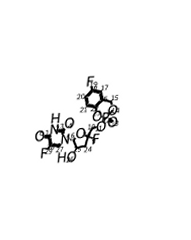 O=c1[nH]c(=O)n([C@@H]2O[C@](F)(COP3(=O)OCc4cc(F)ccc4O3)C[C@H]2O)cc1F